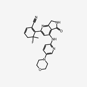 CC1(F)CC=CC(C#N)=C1c1cc(Nc2ccc(N3CCOCC3)cn2)c2c(n1)CNC2=O